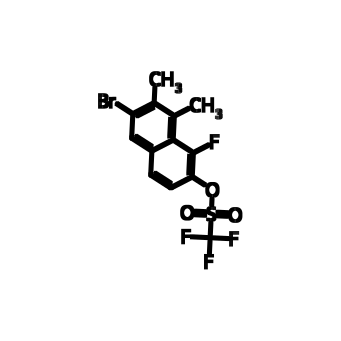 Cc1c(Br)cc2ccc(OS(=O)(=O)C(F)(F)F)c(F)c2c1C